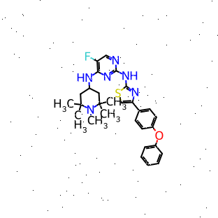 CN1C(C)(C)CC(Nc2nc(Nc3nc(-c4ccc(Oc5ccccc5)cc4)cs3)ncc2F)CC1(C)C